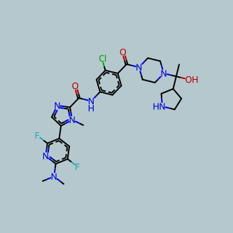 CN(C)c1nc(F)c(-c2cnc(C(=O)Nc3ccc(C(=O)N4CCN(C(C)(O)C5CCNC5)CC4)c(Cl)c3)n2C)cc1F